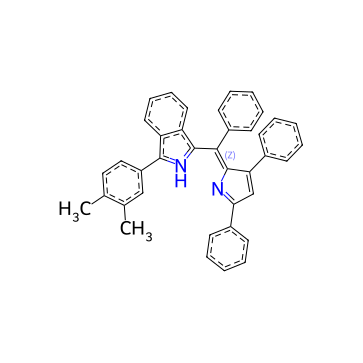 Cc1ccc(-c2[nH]c(/C(=C3\N=C(c4ccccc4)C=C3c3ccccc3)c3ccccc3)c3ccccc23)cc1C